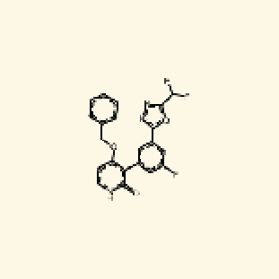 O=c1[nH]ccc(OCc2ccccc2)c1-c1cc(F)cc(-c2nnc(C(F)F)o2)c1